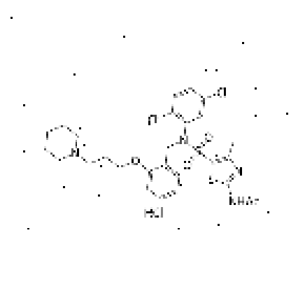 CC(=O)Nc1nc(C)c(S(=O)(=O)N(Cc2ccccc2OCCCN2CCCCC2)c2cc(Cl)ccc2Cl)s1.Cl